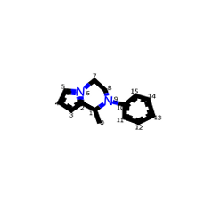 CC1c2cccn2CCN1c1ccccc1